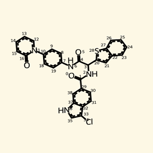 O=C(NC(C(=O)Nc1ccc(-n2ccccc2=O)cc1)c1cc2ccccc2s1)c1ccc2c(Cl)c[nH]c2c1